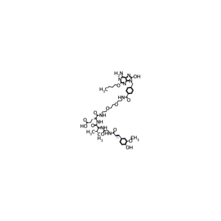 CCCCOc1nc(N)c2nc(O)n(Cc3ccc(C(=O)NCCOCCOCCNC(=O)[C@@H](CCC(=O)O)NC(=O)[C@@H](NC(=O)CNC(=O)/C=C/c4ccc(O)c(OC)c4)C(C)C)cc3)c2n1